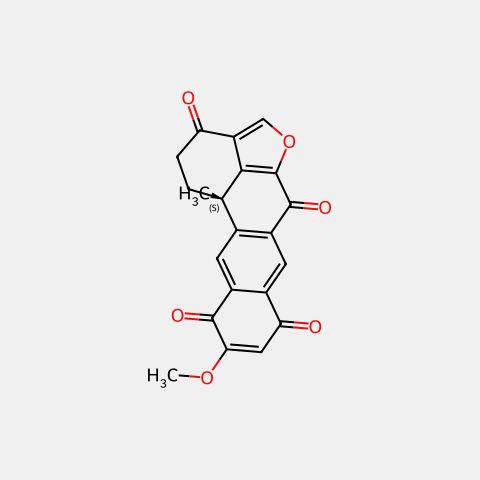 COC1=CC(=O)c2cc3c(cc2C1=O)[C@]1(C)CCC(=O)c2coc(c21)C3=O